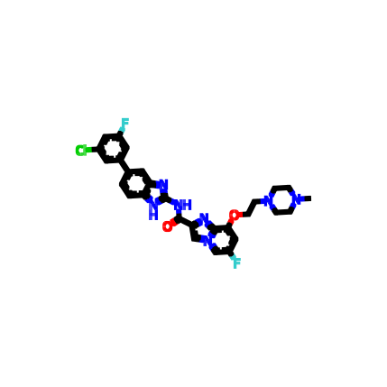 CN1CCN(CCOc2cc(F)cn3cc(C(=O)Nc4nc5cc(-c6cc(F)cc(Cl)c6)ccc5[nH]4)nc23)CC1